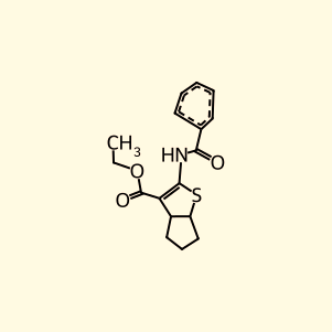 CCOC(=O)C1=C(NC(=O)c2ccccc2)SC2CCCC12